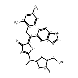 COCC1CC(N(C)C2=NC(=O)C(=C(Cc3ccc(C(F)(F)F)cc3C(F)(F)F)c3ccc4[nH]ncc4c3)S2)CN1C